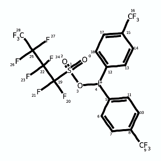 O=S(=O)(O[I+](c1ccc(C(F)(F)F)cc1)c1ccc(C(F)(F)F)cc1)C(F)(F)C(F)(F)C(F)(F)C(F)(F)F